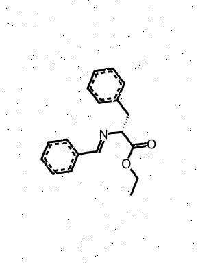 CCOC(=O)[C@@H](Cc1ccccc1)/N=C/c1ccccc1